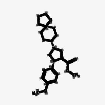 COC(=O)C1CN([C@H]2CC[C@@]3(CCCO3)CC2)C[C@H]1c1ccc(OC)cc1